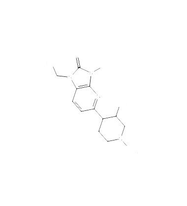 Cn1c(=O)n(CC(C)(C)C)c2ccc(C3CCN(C(=O)O)CC3O)nc21